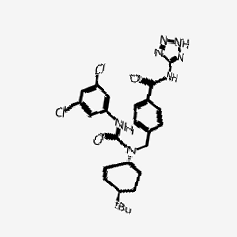 CC(C)(C)[C@H]1CC[C@H](N(Cc2ccc(C(=O)Nc3nn[nH]n3)cc2)C(=O)Nc2cc(Cl)cc(Cl)c2)CC1